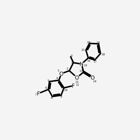 CC1C(Oc2cc(F)ccc2F)OC(=O)N1c1ccccc1